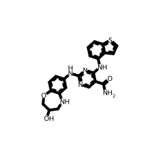 NC(=O)c1cnc(Nc2ccc3c(c2)NCC(O)CO3)nc1Nc1cccc2sccc12